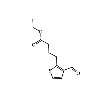 CCOC(=O)CCCc1sccc1C=O